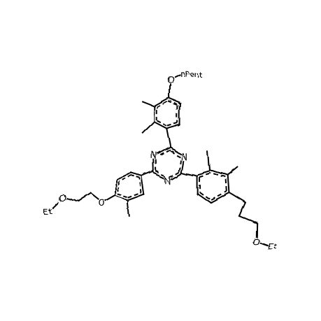 CCCCCOc1ccc(-c2nc(-c3ccc(OCCOCC)c(C)c3)nc(-c3ccc(CCCOCC)c(C)c3C)n2)c(C)c1C